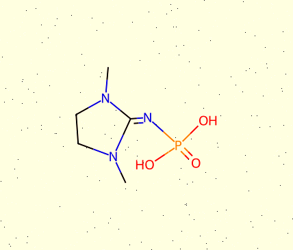 CN1CCN(C)C1=NP(=O)(O)O